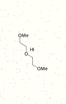 COCCOCCOC.I